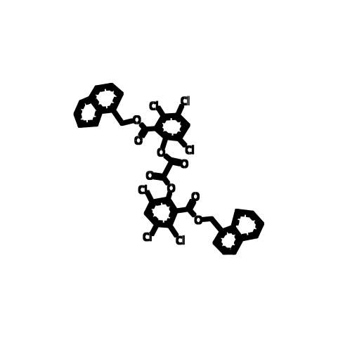 O=C(Oc1c(Cl)cc(Cl)c(Cl)c1C(=O)OCc1cccc2ccccc12)C(=O)Oc1c(Cl)cc(Cl)c(Cl)c1C(=O)OCc1cccc2ccccc12